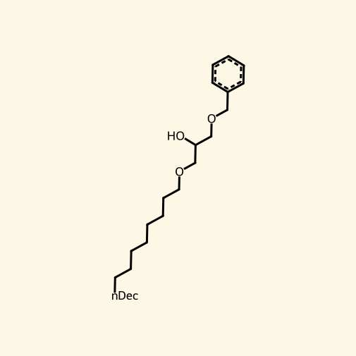 CCCCCCCCCCCCCCCCCCOCC(O)COCc1ccccc1